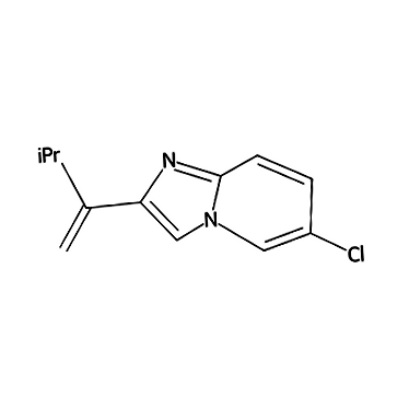 C=C(c1cn2cc(Cl)ccc2n1)C(C)C